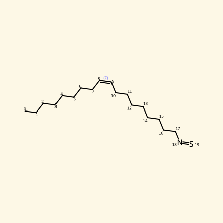 CCCCCCCC/C=C\CCCCCCCCN=S